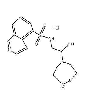 Cl.O=S(=O)(NCC(O)N1CCCNCC1)c1cccc2cnccc12